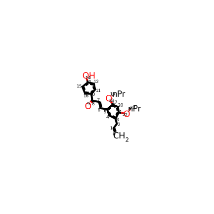 C=CCc1cc(C=CC(=O)c2ccc(O)cc2)c(OCCC)cc1OCCC